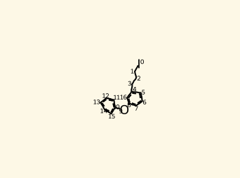 ICCCc1cccc(Oc2ccccc2)c1